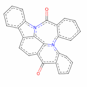 O=c1c2ccccc2n2c3ccccc3c(=O)n3c4ccccc4c4ccc1c2c43